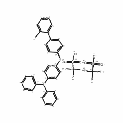 Ic1ccccc1-c1ccc(Sc2ccc([S+](c3ccccc3)c3ccccc3)cc2)cc1.O=S(=O)(O)C(F)(F)F.O=S(=O)([O-])C(F)(F)F